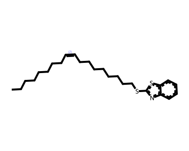 CCCCCCCC/C=C\CCCCCCCCSc1nc2ccccc2s1